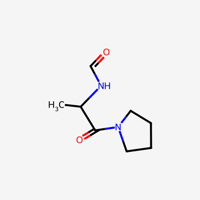 CC(NC=O)C(=O)N1CCCC1